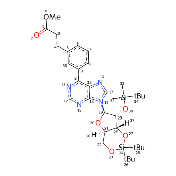 COC(=O)CCc1cccc(-c2ncnc3c2ncn3[C@@H]2O[C@@H]3CO[Si](C(C)(C)C)(C(C)(C)C)O[C@H]3[C@H]2O[Si](C)(C)C(C)(C)C)c1